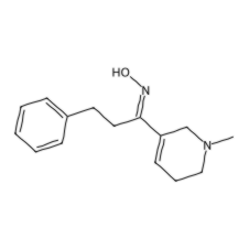 CN1CCC=C(/C(CCc2ccccc2)=N/O)C1